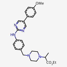 CCOC(=O)C(C)N1CCN(Cc2ccc(Nc3ncc(-c4ccc(OC)cc4)cn3)cc2)CC1